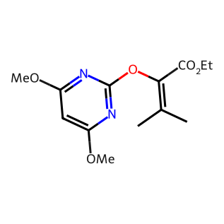 CCOC(=O)C(Oc1nc(OC)cc(OC)n1)=C(C)C